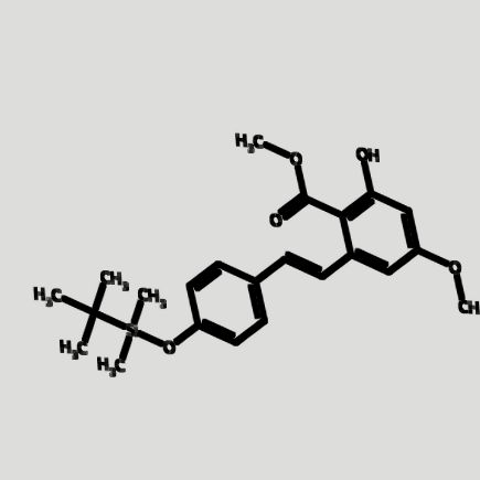 COC(=O)c1c(O)cc(OC)cc1C=Cc1ccc(O[Si](C)(C)C(C)(C)C)cc1